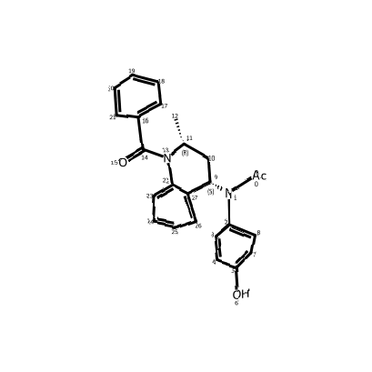 CC(=O)N(c1ccc(O)cc1)[C@H]1C[C@@H](C)N(C(=O)c2ccccc2)c2ccccc21